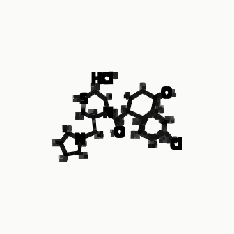 Cl.O=C1CCC(C(=O)N2CCSCC2CN2CCCC2)c2ccc(Cl)cc21